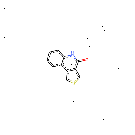 O=c1[nH]c2ccccc2c2cscc12